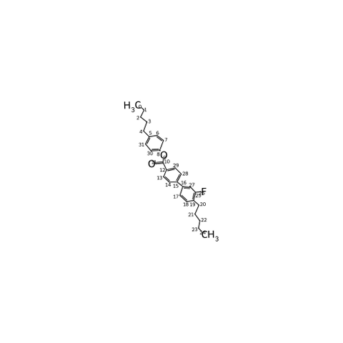 CCCCCc1ccc(OC(=O)c2ccc(-c3ccc(CCCCC)c(F)c3)cc2)cc1